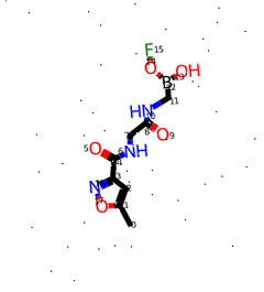 Cc1cc(C(=O)NCC(=O)NCB(O)OF)no1